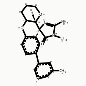 Cc1cncc(-c2ccc3c(c2)[C@@]2(N=C(N)N(C)C2=O)[C@H]2OCCCC2O3)c1